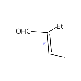 C/C=C(/C=O)CC